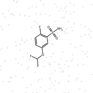 NS(=O)(=O)c1cc(OC(F)F)ccc1F